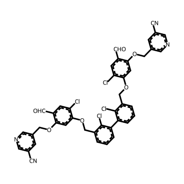 N#Cc1cncc(COc2cc(OCc3cccc(-c4cccc(COc5cc(OCc6cncc(C#N)c6)c(C=O)cc5Cl)c4Cl)c3Cl)c(Cl)cc2C=O)c1